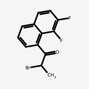 CC(Br)C(=O)c1cccc2ccc(F)c(F)c12